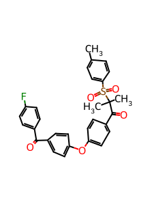 Cc1ccc(S(=O)(=O)C(C)(C)C(=O)c2ccc(Oc3ccc(C(=O)c4ccc(F)cc4)cc3)cc2)cc1